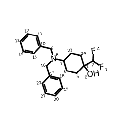 OC1(C(F)F)CCC(N(Cc2ccccc2)Cc2ccccc2)CC1